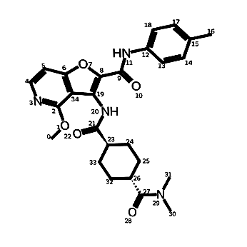 COc1nccc2oc(C(=O)Nc3ccc(C)cc3)c(NC(=O)[C@H]3CC[C@H](C(=O)N(C)C)CC3)c12